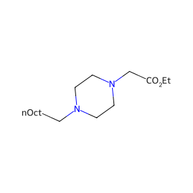 CCCCCCCCCN1CCN(CC(=O)OCC)CC1